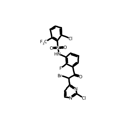 O=C(c1cccc(NS(=O)(=O)c2c(Cl)cccc2C(F)(F)F)c1F)C(Br)c1ccnc(Cl)n1